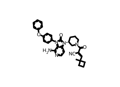 CC1(/C=C(\C#N)C(=O)N2CCC[C@@H](n3c(=O)n(-c4ccc(Oc5ccccc5)cc4)c4c(N)nccc43)C2)CCC1